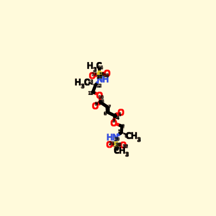 C[C@@H](COC(=O)/C=C/C(=O)OC[C@H](C)NS(C)(=O)=O)NS(C)(=O)=O